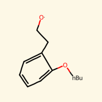 CCCCOc1ccccc1CC[O]